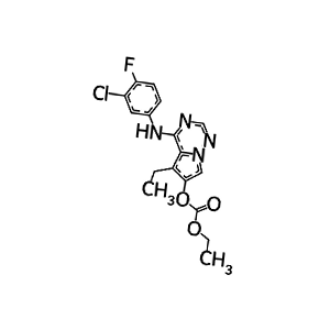 CCOC(=O)Oc1cn2ncnc(Nc3ccc(F)c(Cl)c3)c2c1CC